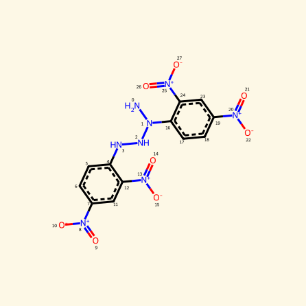 NN(NNc1ccc([N+](=O)[O-])cc1[N+](=O)[O-])c1ccc([N+](=O)[O-])cc1[N+](=O)[O-]